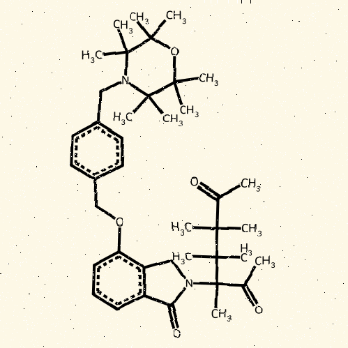 CC(=O)C(C)(C)C(C)(C)C(C)(C(C)=O)N1Cc2c(OCc3ccc(CN4C(C)(C)C(C)(C)OC(C)(C)C4(C)C)cc3)cccc2C1=O